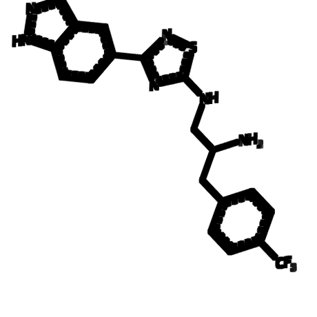 NC(CNc1nc(-c2ccc3[nH]ncc3c2)ns1)Cc1ccc(C(F)(F)F)cc1